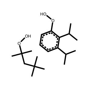 CC(C)(C)CC(C)(C)OO.CC(C)c1cccc(OO)c1C(C)C